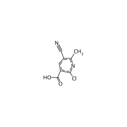 Cc1nc(Cl)c(C(=O)O)cc1C#N